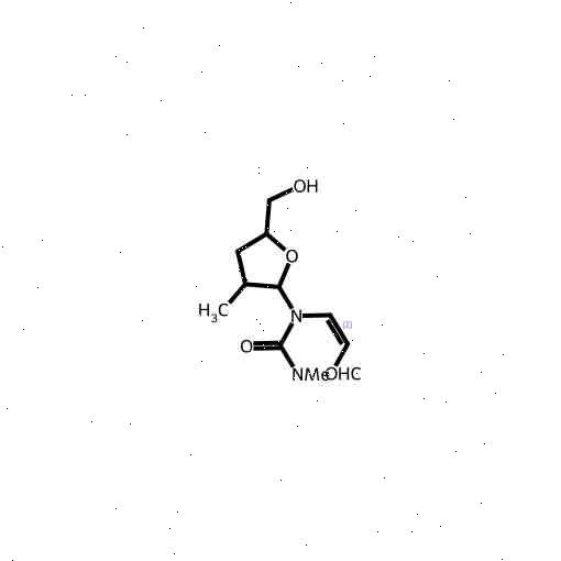 CNC(=O)N(/C=C\C=O)C1OC(CO)CC1C